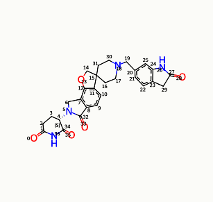 O=C1CC[C@H](N2Cc3c(ccc4c3OCC43CCN(Cc4ccc5c(c4)NC(=O)C5)CC3)C2=O)C(=O)N1